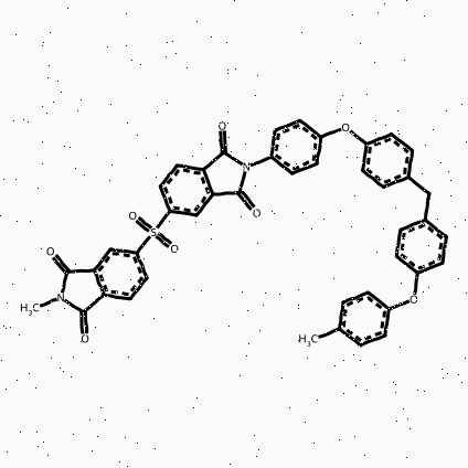 Cc1ccc(Oc2ccc(Cc3ccc(Oc4ccc(N5C(=O)c6ccc(S(=O)(=O)c7ccc8c(c7)C(=O)N(C)C8=O)cc6C5=O)cc4)cc3)cc2)cc1